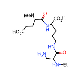 CCN[C@@H](CN)C(=O)NCCCC(NC(=O)[C@H](CCC(=O)O)NC)C(=O)O